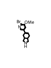 COc1cc(C2=CCC3CNCC3C2)cnc1Br